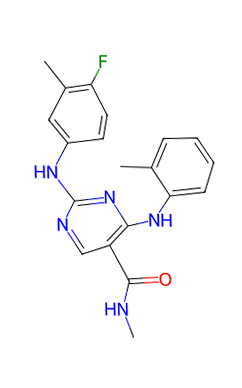 CNC(=O)c1cnc(Nc2ccc(F)c(C)c2)nc1Nc1ccccc1C